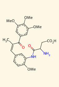 COc1ccc(C=C(C)C(=O)c2cc(OC)c(OC)c(OC)c2)cc1NC(=O)C(N)CC(=O)O